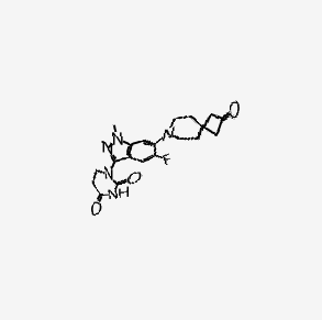 Cn1nc(N2CCC(=O)NC2=O)c2cc(F)c(N3CCC4(CC3)CC(=O)C4)cc21